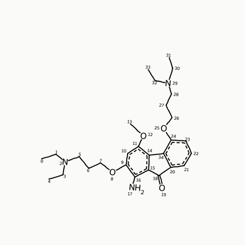 CCN(CC)CCCOc1cc(OC)c2c(c1N)C(=O)c1cccc(OCCCN(CC)CC)c1-2